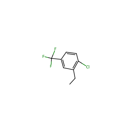 CCc1cc(C(F)(F)F)ccc1Cl